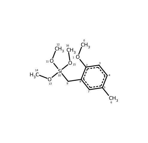 COc1ccc(C)cc1C[Si](OC)(OC)OC